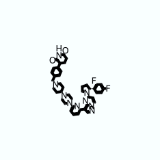 O=C1CCC(c2ccc(CN3CCC(N4CCN(c5cccc(-c6cnn7ccc(N8CCC[C@@H]8c8ccc(F)cc8F)nc67)n5)CC4)CC3)cc2)C(=O)N1